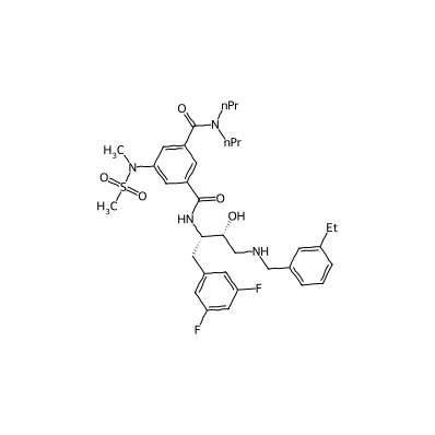 CCCN(CCC)C(=O)c1cc(C(=O)N[C@@H](Cc2cc(F)cc(F)c2)[C@H](O)CNCc2cccc(CC)c2)cc(N(C)S(C)(=O)=O)c1